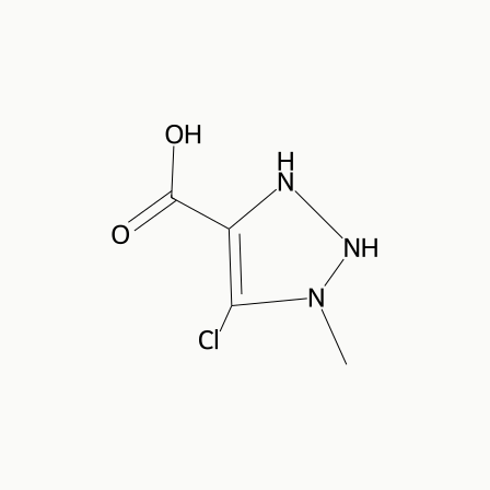 CN1NNC(C(=O)O)=C1Cl